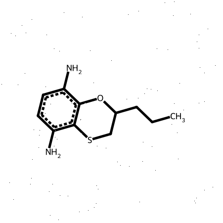 CCCC1CSc2c(N)ccc(N)c2O1